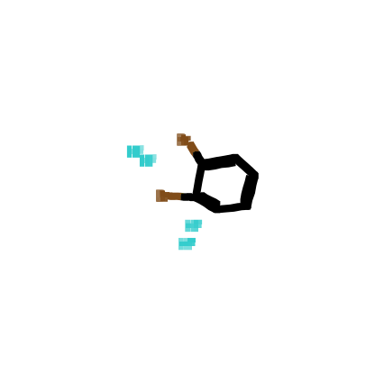 Brc1ccccc1Br.F.F.F.F